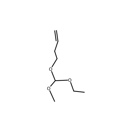 C=CCCOC(OC)OCC